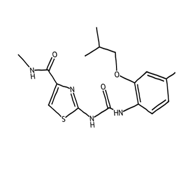 CNC(=O)c1csc(NC(=O)Nc2ccc(C)cc2OCC(C)C)n1